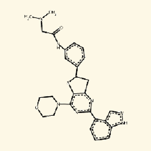 CN(C)CC(=O)Nc1cccc(C2Cc3nc(-c4cccc5[nH]ncc45)nc(N4CCOCC4)c3S2)c1